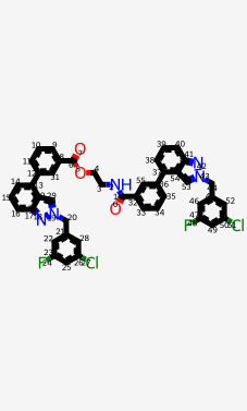 O=C(NCCOC(=O)c1cccc(-c2cccc3nn(Cc4cc(F)cc(Cl)c4)cc23)c1)c1cccc(-c2cccc3nn(Cc4cc(F)cc(Cl)c4)cc23)c1